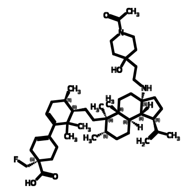 C=C(C)[C@@H]1CC[C@]2(NCCC3(O)CCN(C(C)=O)CC3)CC[C@]3(C)[C@H](CC[C@H](C)[C@@]3(C)CC[C@@H]3[C@H](C)CC=C(C4=CC[C@](CF)(C(=O)O)CC4)C3(C)C)[C@@H]12